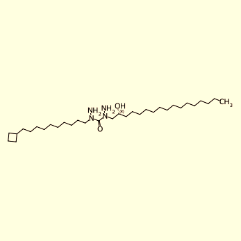 CCCCCCCCCCCCCCC[C@@H](O)CN(N)C(=O)N(N)CCCCCCCCCCC1CCC1